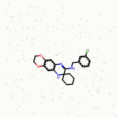 Clc1cccc(CNC2=Nc3cc4c(cc3NC23CCCCC3)OCCO4)c1